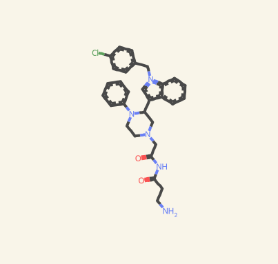 NCCC(=O)NC(=O)CN1CCN(c2ccccc2)C(c2cn(Cc3ccc(Cl)cc3)c3ccccc23)C1